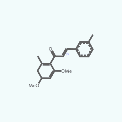 COC1=CC(OC)CC(C)=C1C(=O)/C=C/c1cccc(C)c1